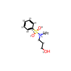 CC(C)N(CCCO)S(=O)(=O)c1ccccc1